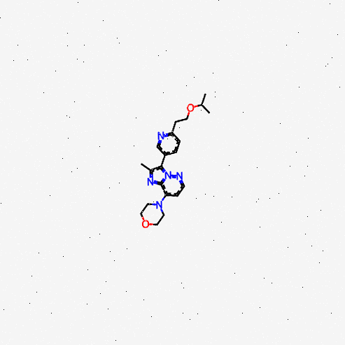 Cc1nc2c(N3CCOCC3)ccnn2c1-c1ccc(CCOC(C)C)nc1